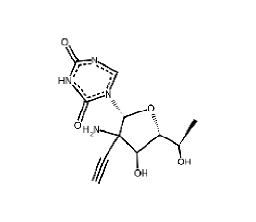 C#CC1(N)C(O)[C@@H]([C@@H](C)O)O[C@H]1n1cnc(=O)[nH]c1=O